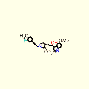 COc1ccc2nccc(C(O)CC[C@@H]3CCN(CC#Cc4ccc(C)c(F)c4)C[C@@H]3CC(=O)O)c2c1